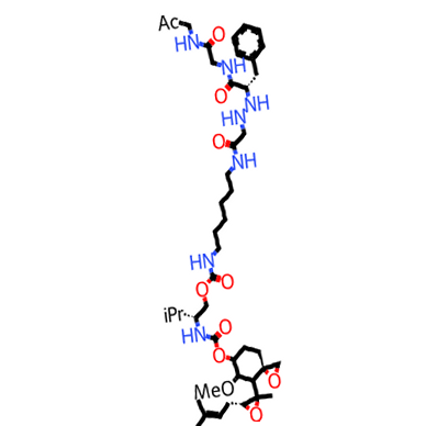 COC1C(OC(=O)N[C@@H](COC(=O)NCCCCCCNC(=O)CNN[C@@H](Cc2ccccc2)C(=O)NCC(=O)NCC(C)=O)C(C)C)CC[C@]2(CO2)C1C1(C)O[C@@H]1CC=C(C)C